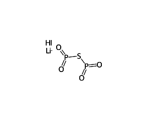 I.O=P(=O)SP(=O)=O.[Li]